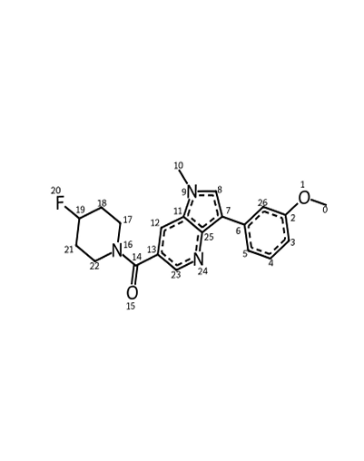 COc1cccc(-c2cn(C)c3cc(C(=O)N4CCC(F)CC4)cnc23)c1